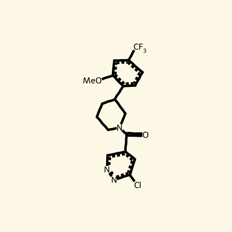 COc1cc(C(F)(F)F)ccc1C1CCCN(C(=O)c2cnnc(Cl)c2)C1